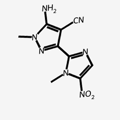 Cn1nc(-c2ncc([N+](=O)[O-])n2C)c(C#N)c1N